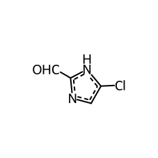 O=Cc1ncc(Cl)[nH]1